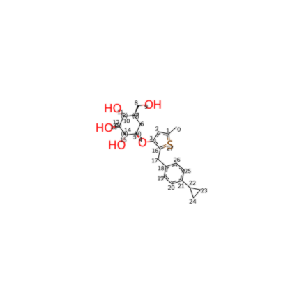 Cc1cc(O[C@@H]2C[C@H](CO)[C@@H](O)[C@H](O)[C@H]2O)c(Cc2ccc(C3CC3)cc2)s1